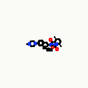 C[C@@H]1CC[C@H](C)N(C(=O)OC(C)(C)C)[C@@H]1C(=O)N[C@H](C#N)Cc1ccc(N2CCN(C)CC2)cc1